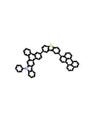 c1ccc(-n2c3ccccc3c3cc4c5ccc(-c6ccc7sc8ccc(-c9ccc%10c%11cccc%12cccc(c%13cccc9c%13%10)c%12%11)cc8c7c6)cc5c5ccccc5c4cc32)cc1